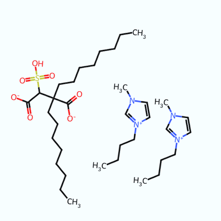 CCCCCCCCC(CCCCCCCC)(C(=O)[O-])C(C(=O)[O-])S(=O)(=O)O.CCCC[n+]1ccn(C)c1.CCCC[n+]1ccn(C)c1